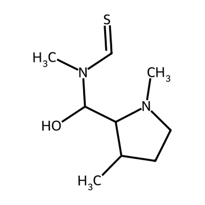 CC1CCN(C)C1C(O)N(C)C=S